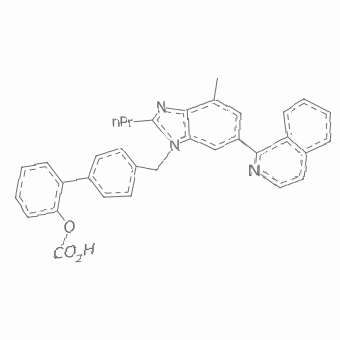 CCCc1nc2c(C)cc(-c3nccc4ccccc34)cc2n1Cc1ccc(-c2ccccc2OC(=O)O)cc1